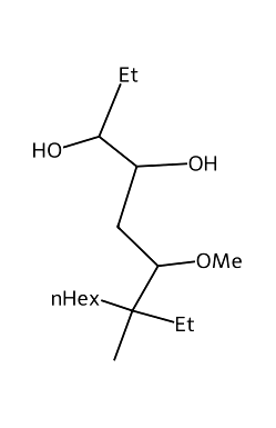 CCCCCCC(C)(CC)C(CC(O)C(O)CC)OC